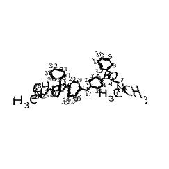 CN(C)CCOB(c1ccccc1)c1ccc(Cc2ccc(B(OCCN(C)C)c3ccccc3)cc2)cc1